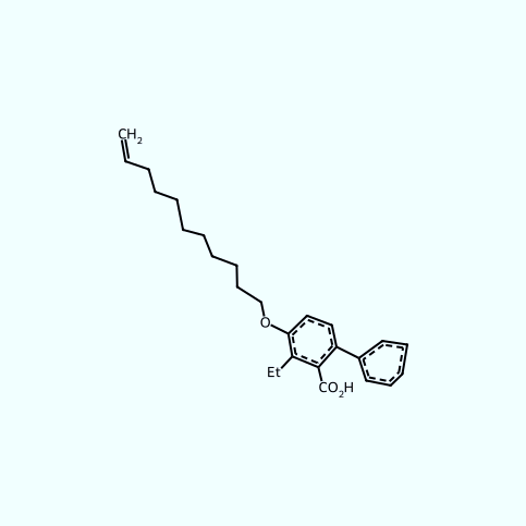 C=CCCCCCCCCCOc1ccc(-c2ccccc2)c(C(=O)O)c1CC